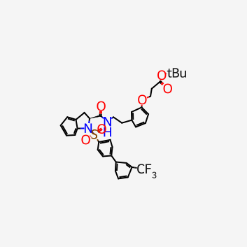 CC(C)(C)OC(=O)CCOc1cccc(CCNC(=O)[C@@H]2Cc3ccccc3N2S(=O)(=O)c2ccc(-c3cccc(C(F)(F)F)c3)cc2)c1